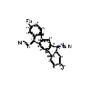 CC12C=CC(F)=CC1/C(=N\C#N)c1cc3c(cc12)/C(=N/C#N)c1cc(F)ccc1-3